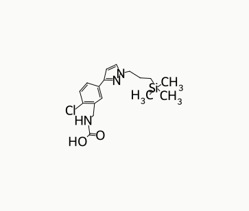 C[Si](C)(C)CCCn1ccc(-c2ccc(Cl)c(CNC(=O)O)c2)n1